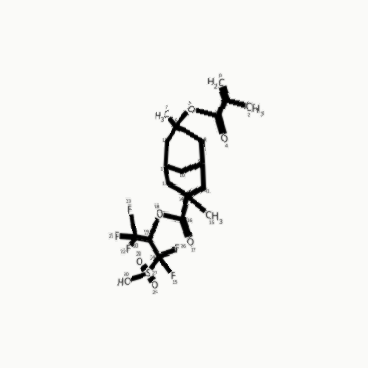 C=C(C)C(=O)OC1(C)CC2CC(C1)CC(C)(C(=O)OC(C(F)(F)F)C(F)(F)S(=O)(=O)O)C2